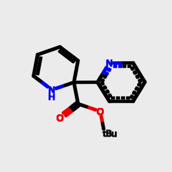 CC(C)(C)OC(=O)C1(c2ccccn2)C=CC=CN1